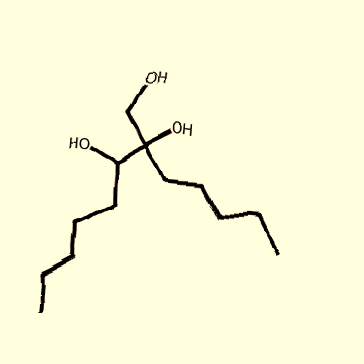 CCCCCC(O)C(O)(CO)CCCCC